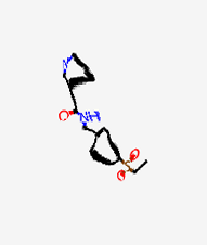 CCS(=O)(=O)c1ccc(CNC(=O)c2cccnc2)cc1